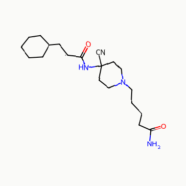 N#CC1(NC(=O)[CH]CC2CCCCC2)CCN(CCCCC(N)=O)CC1